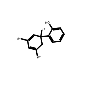 CC(C)C1=CC(c2ccccc2O)(C(C)C)CC(C(C)C)=C1